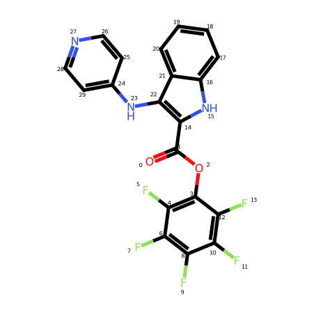 O=C(Oc1c(F)c(F)c(F)c(F)c1F)c1[nH]c2ccccc2c1Nc1ccncc1